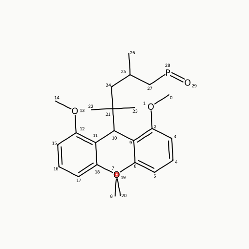 COc1cccc(OC)c1C(c1c(OC)cccc1OC)C(C)(C)CC(C)CP=O